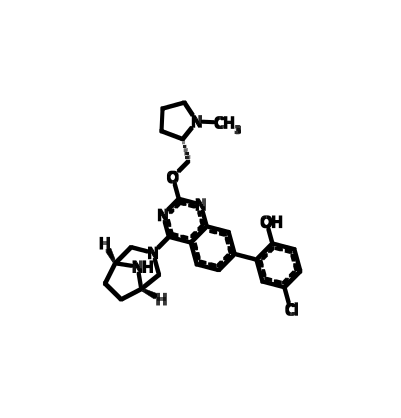 CN1CCC[C@H]1COc1nc(N2C[C@H]3CC[C@@H](C2)N3)c2ccc(-c3cc(Cl)ccc3O)cc2n1